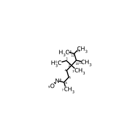 CCC(C)(CCC(C)N=O)C(C)C(C)C